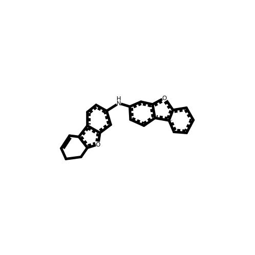 C1=Cc2c(oc3cc(Nc4ccc5c(c4)oc4ccccc45)ccc23)CC1